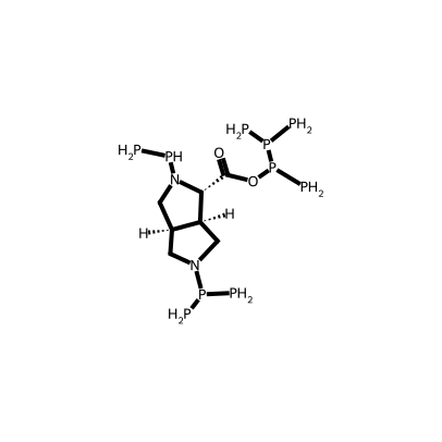 O=C(OP(P)P(P)P)[C@@H]1[C@H]2CN(P(P)P)C[C@H]2CN1PP